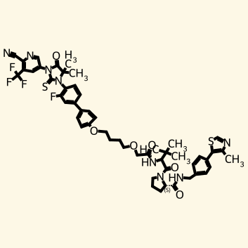 Cc1ncsc1-c1ccc(CNC(=O)[C@@H]2CCCN2C(=O)C(NC(=O)COCCCCOc2ccc(-c3ccc(N4C(=S)N(c5cnc(C#N)c(C(F)(F)F)c5)C(=O)C4(C)C)c(F)c3)cc2)C(C)(C)C)cc1